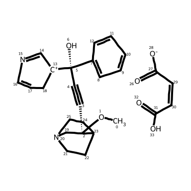 CO[C@]1(C#C[C@](O)(c2ccccc2)[C+]2C=NC=CC2)CN2CCC1CC2.O=C([O-])/C=C\C(=O)O